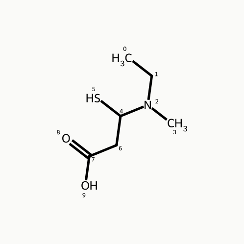 CCN(C)C(S)CC(=O)O